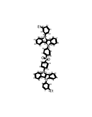 CCc1cccc(-n2c3ccccc3c3c2c2ccccc2n3-c2ccc(S(=O)(=O)c3ccc(-n4c5ccccc5c5c4c4ccccc4n5-c4cccc(CC)c4)cc3)cc2)c1